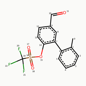 Cc1ccccc1-c1cc(C=O)ccc1OS(=O)(=O)C(F)(F)F